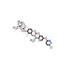 CC1c2ncc(Oc3ccc(Cl)nn3)cc2OC(=O)N1Cc1cccc(NC(=O)OC(C)(C)C)c1F